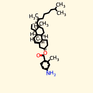 Cc1cc(N)ccc1C(=O)O[C@H]1CC[C@@]2(C)C(=CC[C@H]3[C@H]4CC[C@H]([C@H](C)CCCCC(C)C)[C@@]4(C)CC[C@H]32)C1